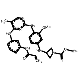 C=CC(=O)Nc1cccc(Nc2nc(Nc3ccc(NC4CN(C(=O)OC(C)(C)C)C4)cc3OC)ncc2C(F)(F)F)c1